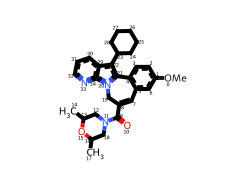 COc1ccc2c(c1)C=C(C(=O)N1CC(C)OC(C)C1)Cn1c-2c(C2CCCCC2)c2cccnc21